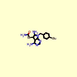 CC(C)(C)c1ccc(Cn2c(N)c([Se]C(N)=O)c3c(N)ncnc32)cc1